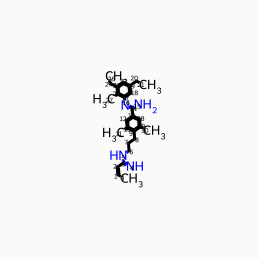 C/C=C\C(=N)NCCCc1c(C)cc(/C(N)=N/c2cc(CC)cc(CC)c2C)cc1C